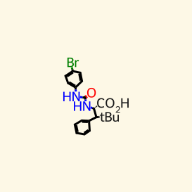 CC(C)(C)C(c1ccccc1)[C@H](NC(=O)Nc1ccc(Br)cc1)C(=O)O